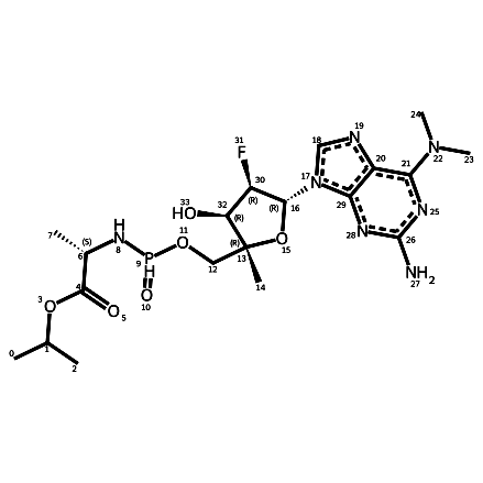 CC(C)OC(=O)[C@H](C)N[PH](=O)OC[C@@]1(C)O[C@@H](n2cnc3c(N(C)C)nc(N)nc32)[C@H](F)[C@@H]1O